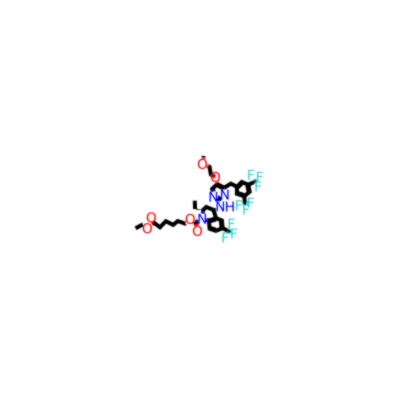 CCOC(=O)CCCCCOC(=O)N1c2ccc(C(F)(F)F)cc2[C@@H](Nc2ncc(OCCOC)c(Cc3cc(C(F)(F)F)cc(C(F)(F)F)c3)n2)C[C@H]1CC